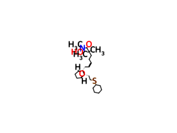 CN(O)C(=O)C(C)(C)CC/C=C\C[C@@H]1[C@H](CCSC2CCCCC2)[C@@H]2CC[C@H]1O2